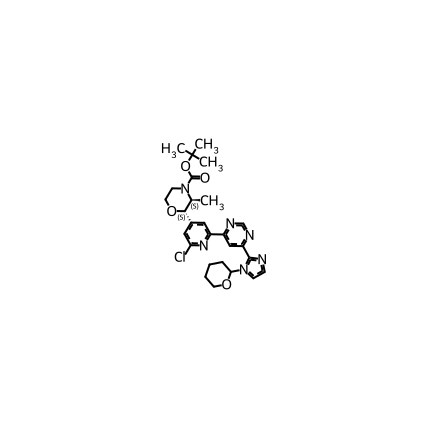 C[C@H]1[C@H](c2cc(Cl)nc(-c3cc(-c4nccn4C4CCCCO4)ncn3)c2)OCCN1C(=O)OC(C)(C)C